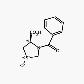 O=C(O)[C@@H]1C[S@@+]([O-])CN1C(=O)c1ccccc1